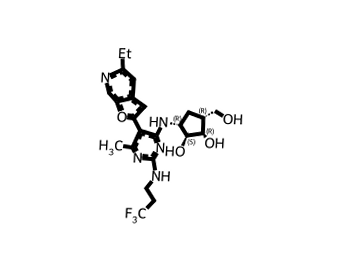 CCc1cc2cc(-c3c(C)nc(NCCC(F)(F)F)nc3N[C@@H]3C[C@H](CO)[C@@H](O)[C@H]3O)oc2cn1